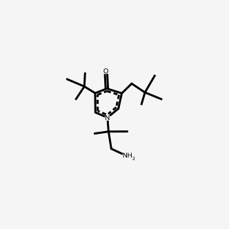 CC(C)(C)Cc1cn(C(C)(C)CN)cc(C(C)(C)C)c1=O